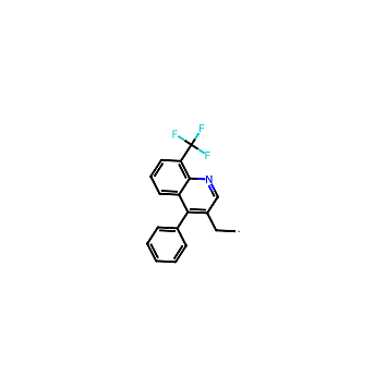 [CH2]Cc1cnc2c(C(F)(F)F)cccc2c1-c1ccccc1